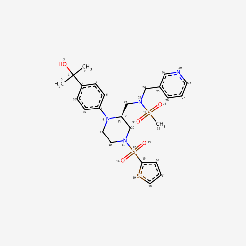 CC(C)(O)c1ccc(N2CCN(S(=O)(=O)c3cccs3)C[C@@H]2CN(Cc2cccnc2)S(C)(=O)=O)cc1